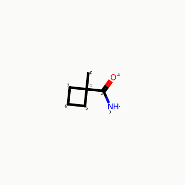 CC1(C([NH])=O)CCC1